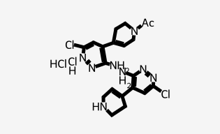 CC(=O)N1CC=C(c2cc(Cl)nnc2N)CC1.Cl.Cl.Nc1nnc(Cl)cc1C1=CCNCC1